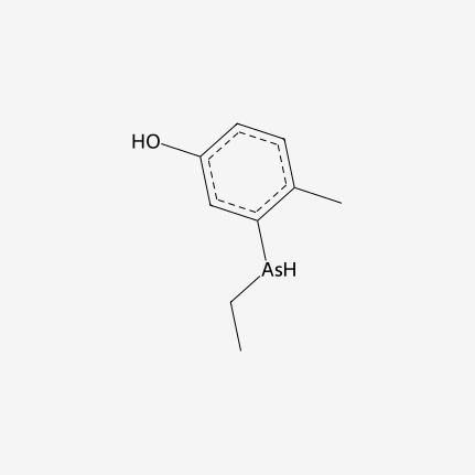 CC[AsH]c1cc(O)ccc1C